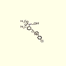 COC(=O)/C(=C/CO)c1cc(COc2ccn(-c3ccc(Cl)cc3)n2)ccc1C